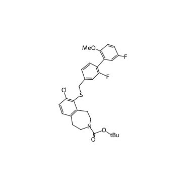 COc1ccc(F)cc1-c1ccc(CSc2c(Cl)ccc3c2CCN(C(=O)OC(C)(C)C)CC3)cc1F